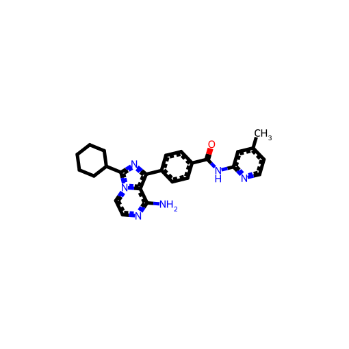 Cc1ccnc(NC(=O)c2ccc(-c3nc(C4CCCCC4)n4ccnc(N)c34)cc2)c1